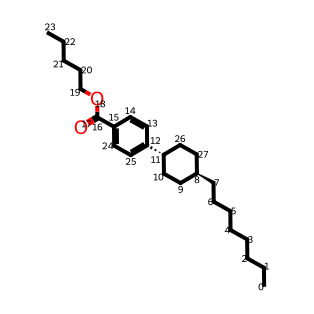 CCCCCCCC[C@H]1CC[C@H](c2ccc(C(=O)OCCCCC)cc2)CC1